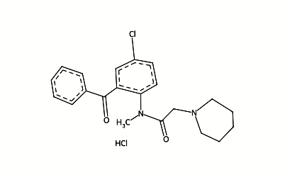 CN(C(=O)CN1CCCCC1)c1ccc(Cl)cc1C(=O)c1ccccc1.Cl